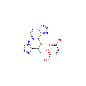 CC(Sc1nccn2ccnc12)c1ncc[nH]1.O=C(O)/C=C\C(=O)O